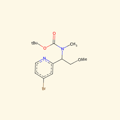 COCC(c1cc(Br)ccn1)N(C)C(=O)OC(C)(C)C